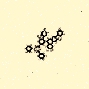 c1ccc(-c2nc(-c3ccccc3)nc(-c3cc(-c4cc5cc6c(cc5c5ccccc45)oc4ccccc46)c4c(c3)oc3ccccc34)n2)cc1